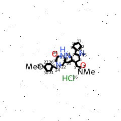 CNC(=O)C=C(Cc1cc2ccccc2n1C)c1cnc2c(c1)CN(Cc1ccc(OC)cc1)CC(=O)N2.Cl